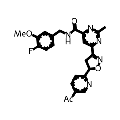 COc1cc(CNC(=O)c2cc(C3=NOC(c4ccc(C(C)=O)cn4)C3)nc(C)n2)ccc1F